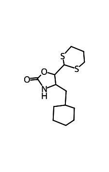 O=C1NC(CC2CCCCC2)C(C2SCCCS2)O1